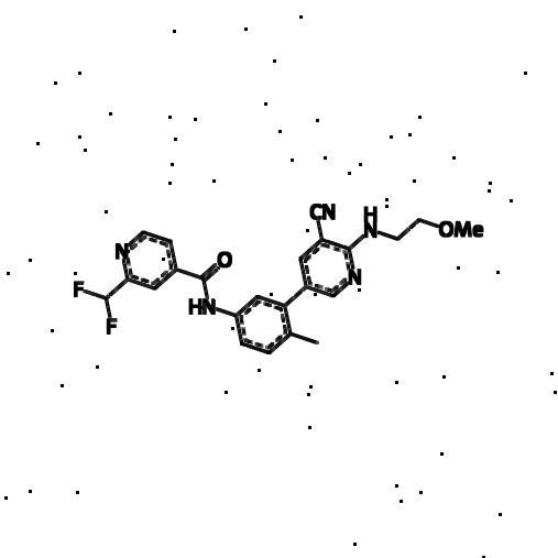 COCCNc1ncc(-c2cc(NC(=O)c3ccnc(C(F)F)c3)ccc2C)cc1C#N